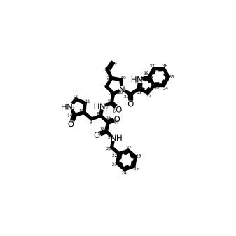 C=CC1CC(C(=O)NC(CC2CCNC2=O)C(=O)C(=O)NCc2ccccc2)N(C(=O)c2cc3ccccc3[nH]2)C1